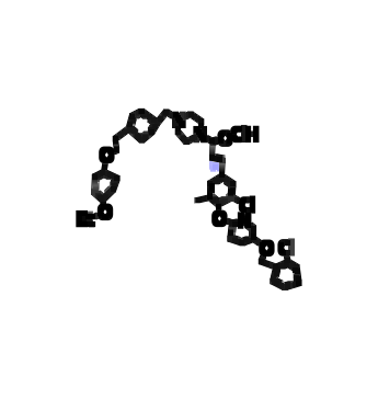 CCOc1ccc(OCCc2ccc(CN3CCN(C(=O)/C=C/c4cc(C)c(Oc5ccc(OCc6ccccc6Cl)cn5)c(Cl)c4)CC3)cc2)cc1.Cl